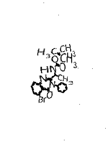 CC(NC(=O)OC(C)(C)C)c1nc2cccc(Br)c2c(=O)n1-c1ccccc1